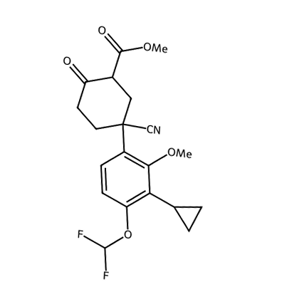 COC(=O)C1CC(C#N)(c2ccc(OC(F)F)c(C3CC3)c2OC)CCC1=O